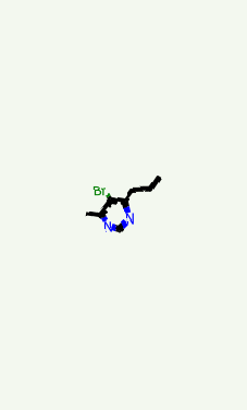 CCCc1ncnc(C)c1Br